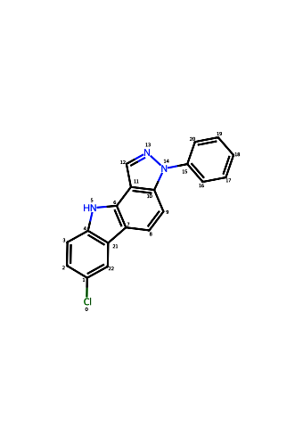 Clc1ccc2[nH]c3c(ccc4c3cnn4-c3ccccc3)c2c1